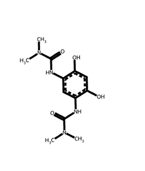 CN(C)C(=O)Nc1cc(NC(=O)N(C)C)c(O)cc1O